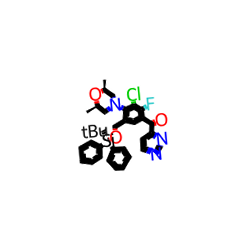 C[C@@H]1CN(c2c(CO[Si](c3ccccc3)(c3ccccc3)C(C)(C)C)cc(C(=O)c3ccncn3)c(F)c2Cl)C[C@H](C)O1